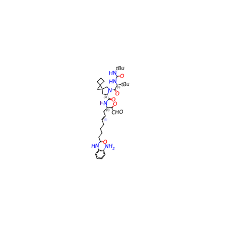 CC(C)(C)NC(=O)N[C@H](C(=O)N1CC2(C[C@H]1C(=O)N(I)[C@H](C/C=C/CCCCC(=O)Nc1ccccc1N)C(=O)C=O)CC21CCC1)C(C)(C)C